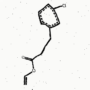 C=COC(=O)CCCc1cccc(Cl)c1